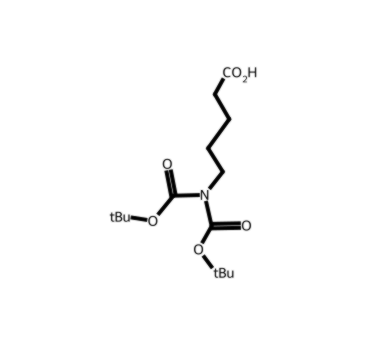 CC(C)(C)OC(=O)N(CCCCC(=O)O)C(=O)OC(C)(C)C